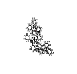 C1=CC(c2nc(-c3cccc4oc5cc(-c6cccc7c8ccccc8n(-c8ccccc8)c67)ccc5c34)nc(-c3cccc4oc5cc(-c6cccc7c8ccccc8n(-c8ccccc8)c67)ccc5c34)n2)=CCC1